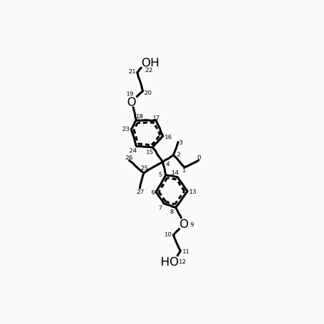 CCC(C)C(c1ccc(OCCO)cc1)(c1ccc(OCCO)cc1)C(C)C